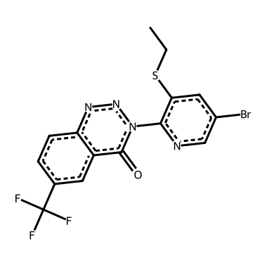 CCSc1cc(Br)cnc1-n1nnc2ccc(C(F)(F)F)cc2c1=O